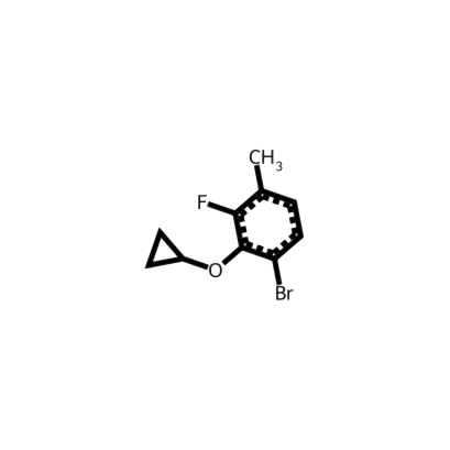 Cc1ccc(Br)c(OC2CC2)c1F